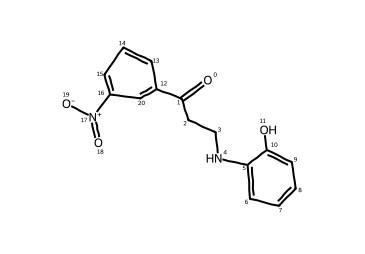 O=C(CCNc1ccccc1O)c1cccc([N+](=O)[O-])c1